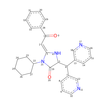 O=C(C=C1NC(C(c2cccnc2)c2cccnc2)C(=O)N1C1CCCCC1)c1ccccc1